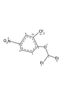 CCC(CC)Oc1ccc([N+](=O)[O-])cc1C(F)(F)F